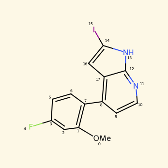 COc1cc(F)ccc1-c1ccnc2[nH]c(I)cc12